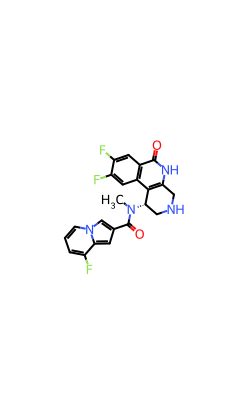 CN(C(=O)c1cc2c(F)cccn2c1)[C@H]1CNCc2[nH]c(=O)c3cc(F)c(F)cc3c21